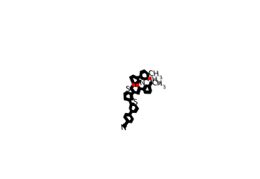 CC1C=Cc2c(n(-c3c(-c4ccc5sc6ccc7c8c(sc7c6c5c4)C=CC(C4=CC=C(C#N)CC4)C8)cccc3C(C)N)c3ccccc23)C1